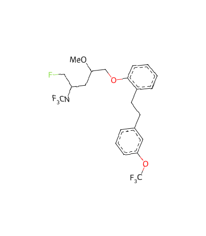 COC(COc1ccccc1CCc1cccc(OC(F)(F)F)c1)CC(CF)NC(F)(F)F